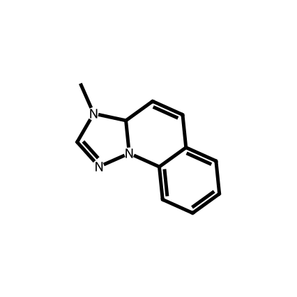 CN1C=NN2c3ccccc3C=CC12